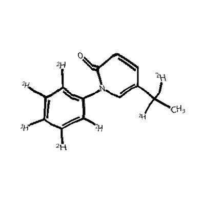 [2H]c1c([2H])c([2H])c(-n2cc(C([2H])([2H])C)ccc2=O)c([2H])c1[2H]